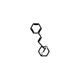 C(=C\C1CC2CCN1CC2)/c1ccccc1